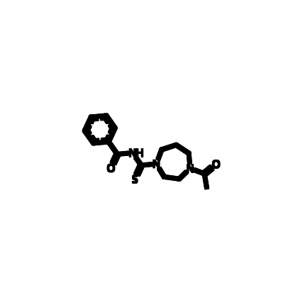 CC(=O)N1CCCN(C(=S)NC(=O)c2ccccc2)CC1